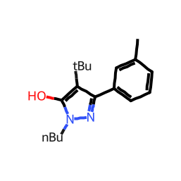 CCCCn1nc(-c2cccc(C)c2)c(C(C)(C)C)c1O